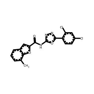 Cc1cccc2cc(C(=O)Nc3nnc(-c4ccc(Cl)cc4Cl)o3)oc12